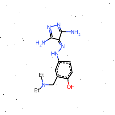 CCN(CC)Cc1cc(NN=C2C(N)=NN=C2N)ccc1O